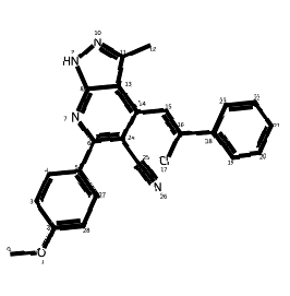 COc1ccc(-c2nc3[nH]nc(C)c3c(/C=C(\Cl)c3ccccc3)c2C#N)cc1